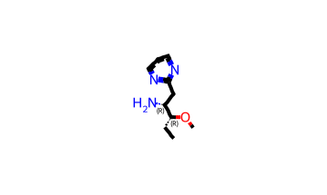 CC[C@@H](OC)[C@H](N)Cc1ncccn1